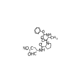 C[C@H](NC(=O)Oc1ccccc1)C(=O)N1CCC[C@H]1C(=O)N[C@H](C=O)CC(=O)O